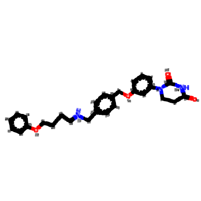 O=C1CCN(c2cccc(OCc3ccc(CNCCCCOc4ccccc4)cc3)c2)C(=O)N1